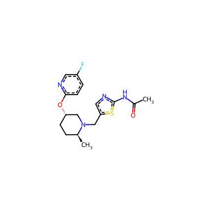 CC(=O)Nc1ncc(CN2C[C@@H](Oc3ccc(F)cn3)CC[C@@H]2C)s1